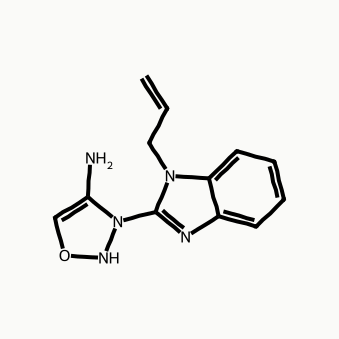 C=CCn1c(N2NOC=C2N)nc2ccccc21